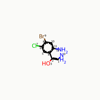 N/C=C(/O)c1cc(Cl)c(Br)cc1N